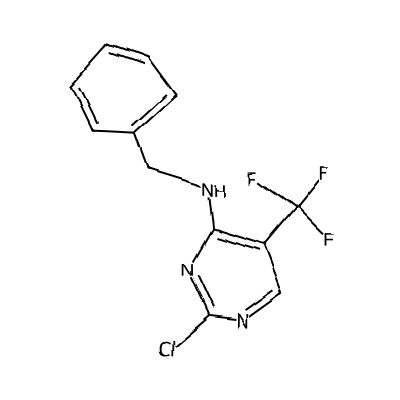 FC(F)(F)c1cnc(Cl)nc1NCc1ccccc1